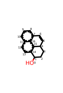 OC1CCC2C=Cc3cccc4ccc1c2c34